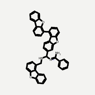 N/C(=N\C(NCc1cccc2oc3ccccc3c12)c1ccc2c(c1)oc1cccc(-c3cccc4c3oc3ccccc34)c12)c1ccccc1